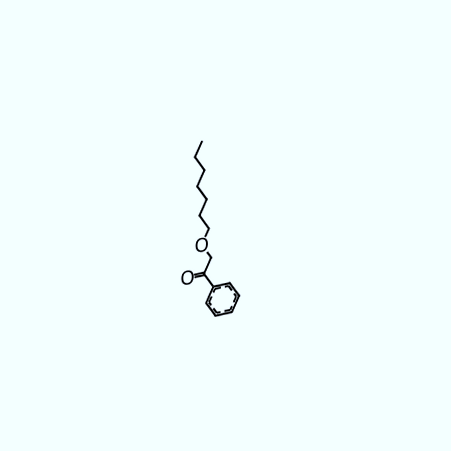 CCCCCCCOCC(=O)c1ccccc1